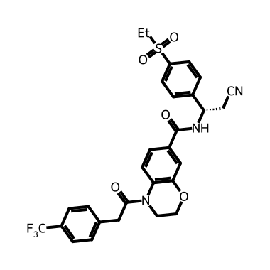 CCS(=O)(=O)c1ccc([C@H](CC#N)NC(=O)c2ccc3c(c2)OCCN3C(=O)Cc2ccc(C(F)(F)F)cc2)cc1